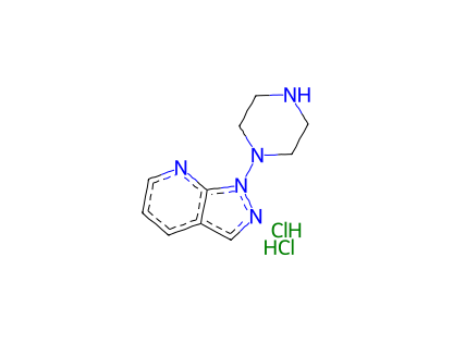 Cl.Cl.c1cnc2c(c1)cnn2N1CCNCC1